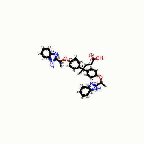 CC(Oc1ccc(C(C)(CCC(=O)O)c2ccc(OC(C)c3nc4ccccc4[nH]3)cc2)cc1)c1nc2ccccc2[nH]1